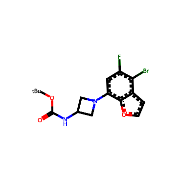 CC(C)(C)OC(=O)NC1CN(c2cc(F)c(Br)c3ccoc23)C1